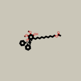 COc1c(O)c(CCCCCCCCCCOC(C)=O)c(C)c(O[Si](c2ccccc2)(c2ccccc2)C(C)(C)C)c1OC